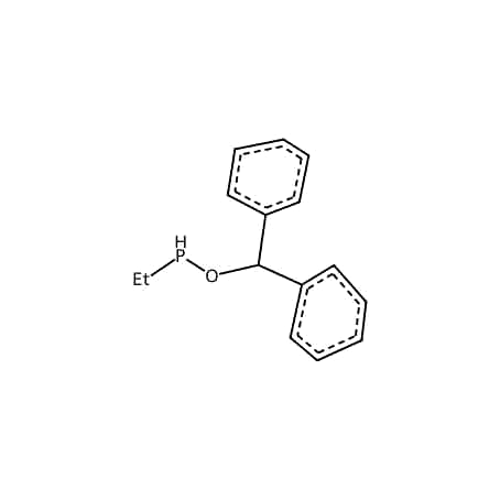 CCPOC(c1ccccc1)c1ccccc1